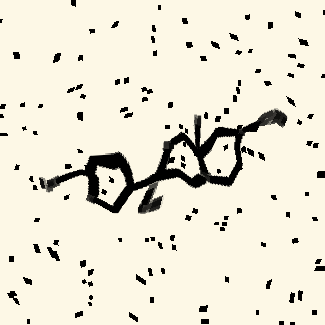 O=CN1CCN2C[C@@](O)(c3ccc(C(F)(F)F)nc3)OC[C@@H]2C1